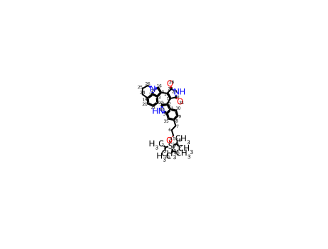 CC(C)[Si](OCCCc1ccc2c(C3=C(c4cn5c6c(cccc46)CCC5)C(=O)NC3=O)c[nH]c2c1)(C(C)C)C(C)C